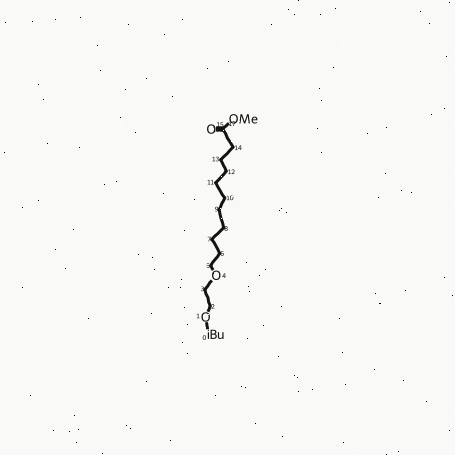 CCC(C)OCCOCCCCCCCCCCC(=O)OC